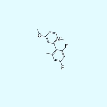 COc1cc[n+](C)c(-c2c(C)cc(F)cc2F)c1